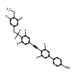 CCCCc1ccc(-c2cc(F)c(C#Cc3cc(F)c(C(F)(F)Oc4cc(F)c(OC(F)(F)F)c(F)c4)c(F)c3)c(F)c2)cc1